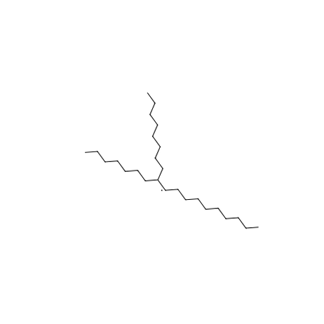 CCCCCCCCC[CH]C(CCCCCCC)CCCCCCCC